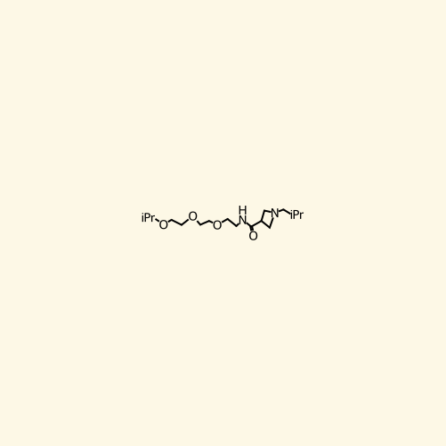 CC(C)CN1CC(C(=O)NCCOCCOCCOC(C)C)C1